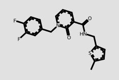 Cc1ccc(CNC(=O)c2cccn(Cc3ccc(F)c(F)c3)c2=O)s1